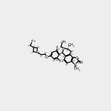 CC(C)CN1[C@H](c2c(F)cc(OCCN3CC(CF)C3)cc2F)c2ccc3c(oc(=O)n3C)c2C[C@H]1C